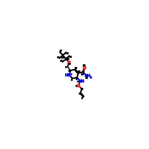 C=CCON[C@H]1CN[C@H](CO[Si](C)(C)C(C)(C)C)C=C1C(N)=O